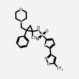 O=C(O)C1(NS(=O)(=O)c2ccc(-c3cc(C(F)(F)F)on3)s2)CC1(CN1CCOCC1)c1ccccc1